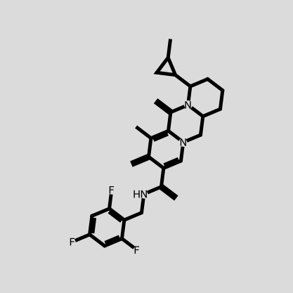 C=C(NCc1c(F)cc(F)cc1F)C1=CN2CC3CCCC(C4CC4C)N3C(=C)C2=C(C)C1=C